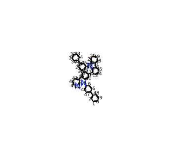 c1ccc(-c2ccc(-n3c4cc(-c5cccc6c7ccccc7n(-c7cccc(-c8ccccc8)c7)c56)ccc4c4cccnc43)cc2)cc1